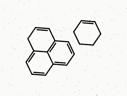 C1=CCCCC1.C1=Cc2cccc3cccc(c23)C1